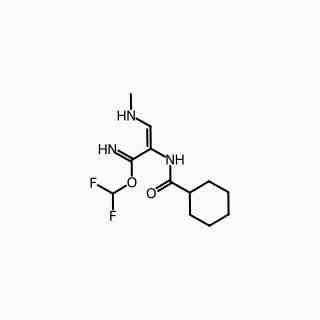 CN/C=C(/NC(=O)C1CCCCC1)C(=N)OC(F)F